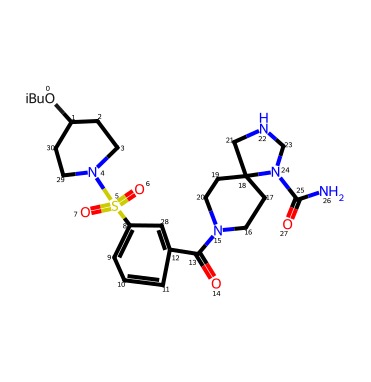 CC(C)COC1CCN(S(=O)(=O)c2cccc(C(=O)N3CCC4(CC3)CNCN4C(N)=O)c2)CC1